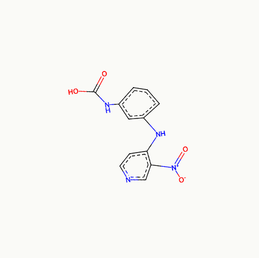 O=C(O)Nc1cccc(Nc2ccncc2[N+](=O)[O-])c1